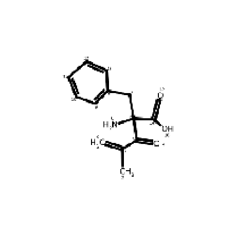 C=C(C)C(=O)C(N)(Cc1ccccc1)C(=O)O